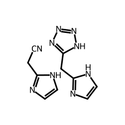 N#CCc1ncc[nH]1.c1c[nH]c(Cc2nnn[nH]2)n1